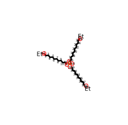 CCOCCCCCCCCCCOP(=O)(OCCCCCCCCCCOCC)OCCCCCCCCCCOCC